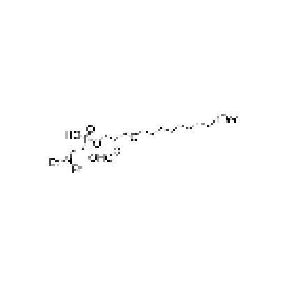 CCCCCCCCCCCCCCCCCCOCC(COP(=O)(O)CCN(CC)CC)OC=O